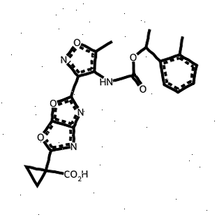 Cc1ccccc1C(C)OC(=O)Nc1c(-c2nc3nc(C4(C(=O)O)CC4)oc3o2)noc1C